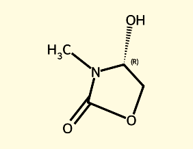 CN1C(=O)OC[C@H]1O